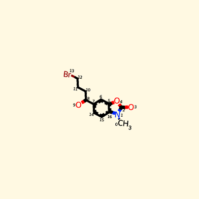 Cn1c(=O)oc2cc(C(=O)CCCBr)ccc21